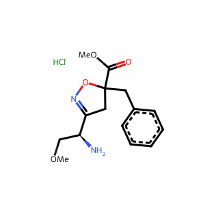 COC[C@H](N)C1=NOC(Cc2ccccc2)(C(=O)OC)C1.Cl